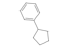 [c]1cccc(C2[CH]CCC2)c1